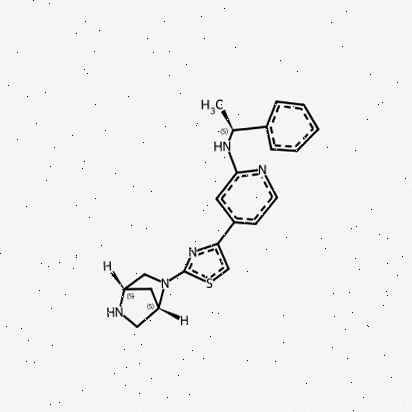 C[C@H](Nc1cc(-c2csc(N3C[C@@H]4C[C@H]3CN4)n2)ccn1)c1ccccc1